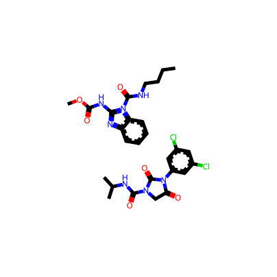 CC(C)NC(=O)N1CC(=O)N(c2cc(Cl)cc(Cl)c2)C1=O.CCCCNC(=O)n1c(NC(=O)OC)nc2ccccc21